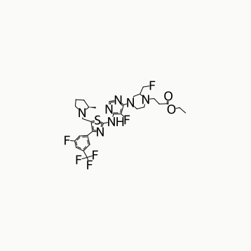 CCOC(=O)CCN1CCN(c2ncnc(Nc3nc(-c4cc(F)cc(C(F)(F)F)c4)c(CN4CCC[C@H]4C)s3)c2F)CC1CF